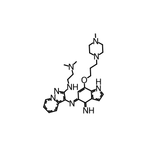 CN(C)CCNc1nn2ccccc2c1N=C1C=C(OCCCN2CCN(C)CC2)c2[nH]ccc2C1=N